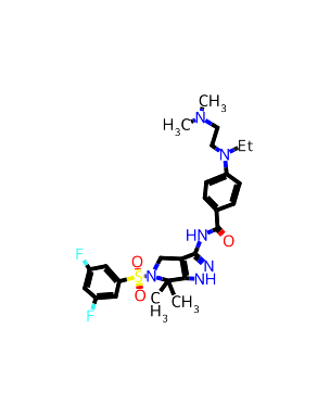 CCN(CCN(C)C)c1ccc(C(=O)Nc2n[nH]c3c2CN(S(=O)(=O)c2cc(F)cc(F)c2)C3(C)C)cc1